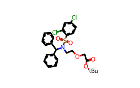 CC(C)(C)OC(=O)COCCN(C(c1ccccc1)c1ccccc1)S(=O)(=O)c1ccc(Cl)cc1Cl